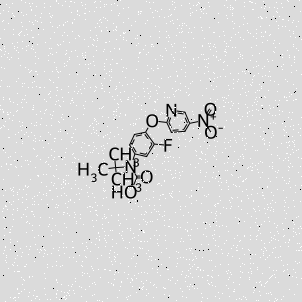 CC(C)(C)N(C(=O)O)c1ccc(Oc2ccc([N+](=O)[O-])cn2)c(F)c1